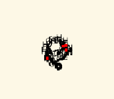 O=C(c1ccccc1)N1C/C=C/CCc2ncnc3c2ccn3[C@@H]2O[C@@H]3CO[P@@](=O)(S)O[C@H]4[C@@H](F)[C@@H](O[C@@H]4CO[P@](=O)(S)O[C@H]3[C@H]2F)n2cnc3c1ncnc32